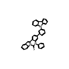 S=c1n(-c2ccccc2)c2cc(-c3cccc(-n4c5ccccc5c5ccccc54)c3)ccc2c2cc3ccccc3n12